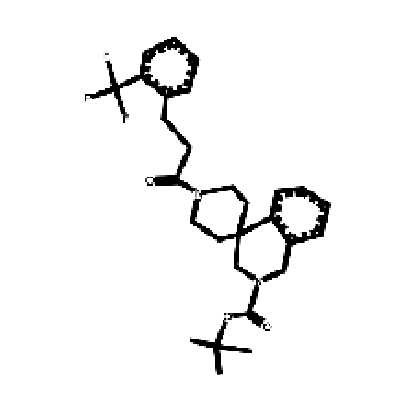 CC(C)(C)OC(=O)N1Cc2ccccc2C2(CCN(C(=O)CCc3ccccc3C(F)(F)F)CC2)C1